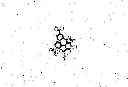 CCOC(=O)C1=C(C)Nc2c(c(-c3cccc(C(=O)OC)c3)nn2C)C1c1cccc([N+](=O)[O-])c1